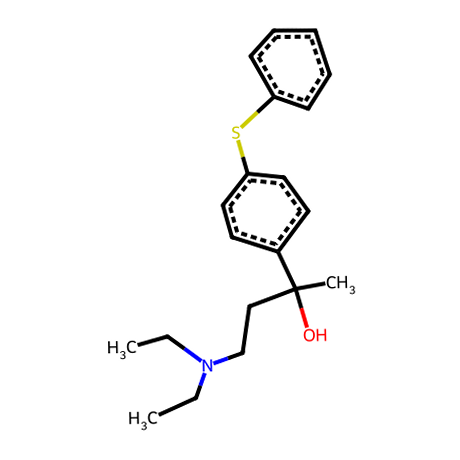 CCN(CC)CCC(C)(O)c1ccc(Sc2ccccc2)cc1